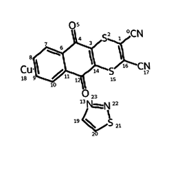 N#Cc1sc2c(=O)c3ccccc3c(=O)c=2sc1C#N.[Cu].c1csnn1